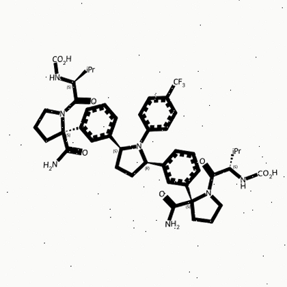 CC(C)[C@H](NC(=O)O)C(=O)N1CCC[C@@]1(C(N)=O)c1cccc([C@H]2CC[C@@H](c3cccc([C@]4(C(N)=O)CCCN4C(=O)[C@@H](NC(=O)O)C(C)C)c3)N2c2ccc(C(F)(F)F)cc2)c1